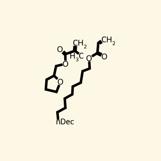 C=C(C)C(=O)OCC1CCCO1.C=CC(=O)OCCCCCCCCCCCCCCCCCC